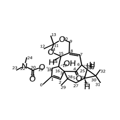 CC1=CC23C(=O)[C@@H](C=C4COC(C)(C)O[C@H]4[C@]2(O)[C@H]1OC(=O)N(C)C)[C@@H]1[C@@H](CC3C)C1(C)C